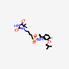 CC(C)COc1cc(C(C)NS(=O)(=O)CCC=CCN2C(=O)NC(=O)C2(C)C)ccc1F